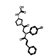 O=C(O)N[C@H]1CCN(C(=O)CN(C(=O)/C=C/c2ccccc2)c2ccc(Br)cc2)C1